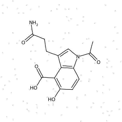 CC(=O)n1cc(CCC(N)=O)c2c(C(=O)O)c(O)ccc21